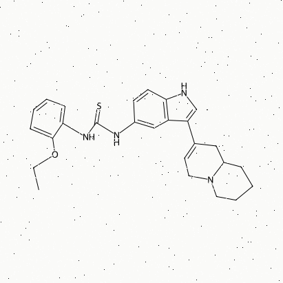 CCOc1ccccc1NC(=S)Nc1ccc2[nH]cc(C3=CCN4CCCCC4C3)c2c1